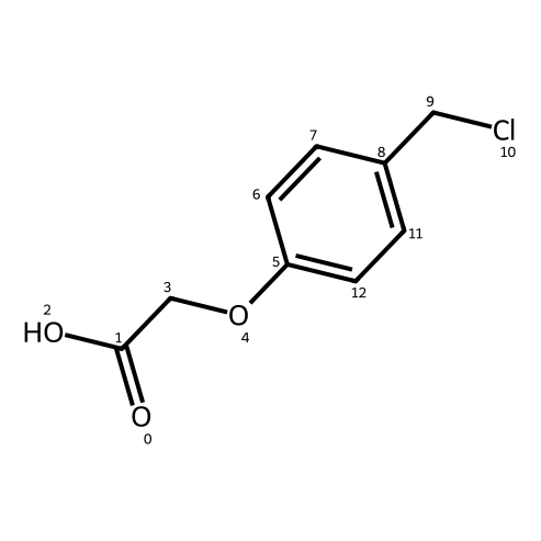 O=C(O)COc1ccc(CCl)cc1